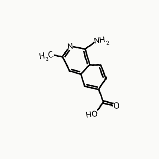 Cc1cc2cc(C(=O)O)ccc2c(N)n1